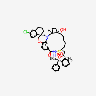 C[C@@H](C[C@@H]1CC/C=C/[C@H](O)[C@@H]2CC[C@H]2CN2C[C@@]3(CCCc4cc(Cl)ccc43)COc3ccc(cc32)C(=O)NS1(=O)=O)O[Si](c1ccccc1)(c1ccccc1)C(C)(C)C